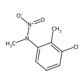 Cc1c(Cl)cccc1N(C)[N+](=O)[O-]